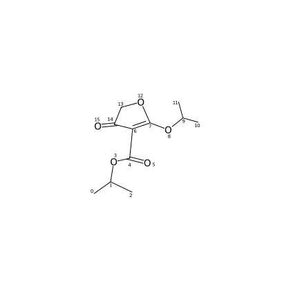 CC(C)OC(=O)C1=C(OC(C)C)OCC1=O